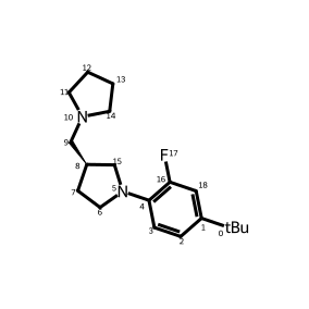 CC(C)(C)c1ccc(N2CC[C@@H](CN3CCCC3)C2)c(F)c1